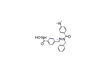 CN(C)c1ccc(C(=O)N(Cc2ccccc2)/N=C/c2ccc(C(=O)NO)cc2)cc1